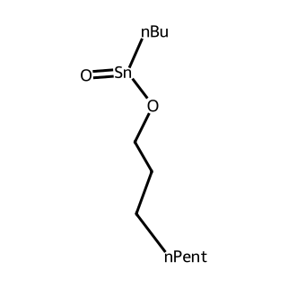 CCCCCCCC[O][Sn](=[O])[CH2]CCC